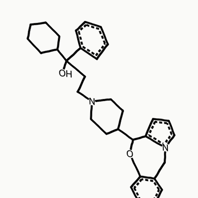 OC(CCN1CCC(C2Oc3ccccc3Cn3cccc32)CC1)(c1ccccc1)C1CCCCC1